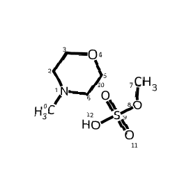 CN1CCOCC1.COS(=O)(=O)O